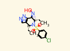 CC[C@@H]1c2cn[nH]c2/C(=N\O)[C@H](CC)N1S(=O)(=O)c1ccc(Cl)cc1